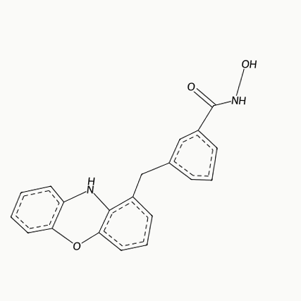 O=C(NO)c1cccc(Cc2cccc3c2Nc2ccccc2O3)c1